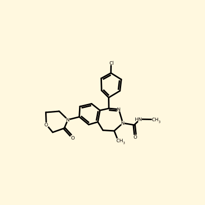 CNC(=O)N1N=C(c2ccc(Cl)cc2)c2ccc(N3CCOCC3=O)cc2CC1C